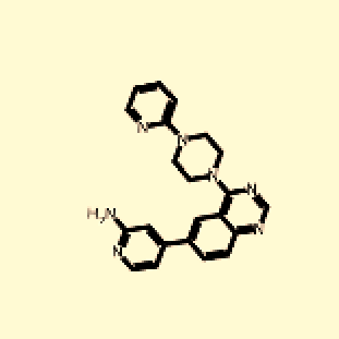 Nc1cc(-c2ccc3ncnc(N4CCN(c5ccccn5)CC4)c3c2)ccn1